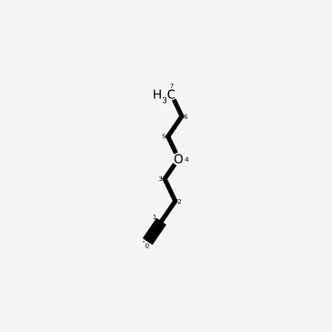 [C]#CCCOCCC